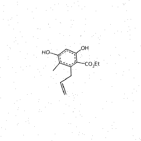 C=CCc1c(C)c(O)cc(O)c1C(=O)OCC